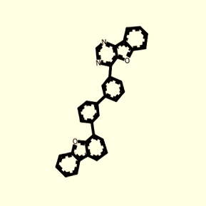 c1cc(-c2cccc(-c3ncnc4c3oc3ccccc34)c2)cc(-c2cccc3c2oc2ccccc23)c1